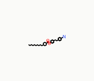 CCCCCCCCCCC1CCC(C(=O)Oc2ccc(CCc3ccc(C#N)cc3)cc2)CC1